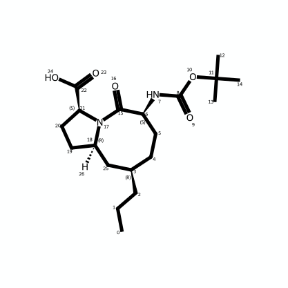 CCC[C@@H]1CC[C@H](NC(=O)OC(C)(C)C)C(=O)N2[C@H](CC[C@H]2C(=O)O)C1